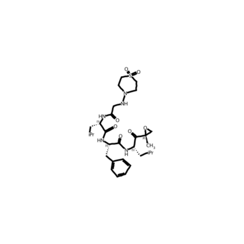 CC(C)C[C@H](NC(=O)CNN1CCS(=O)(=O)CC1)C(=O)N[C@@H](Cc1ccccc1)C(=O)N[C@@H](CC(C)C)C(=O)[C@@]1(C)CO1